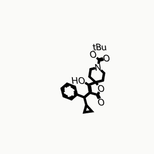 CC(C)(C)OC(=O)N1CCC2(CC1)OC(=O)C(C(c1ccccc1)C1CC1)=C2O